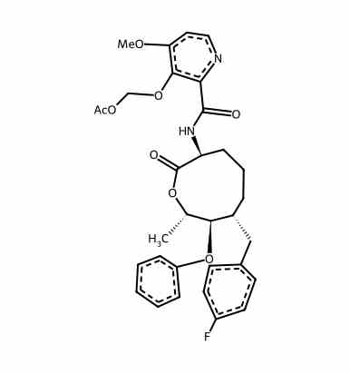 COc1ccnc(C(=O)N[C@H]2CCC[C@H](Cc3ccc(F)cc3)[C@@H](Oc3ccccc3)[C@H](C)OC2=O)c1OCOC(C)=O